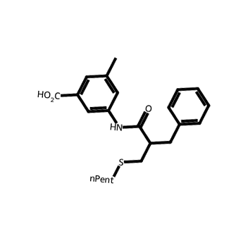 CCCCCSCC(Cc1ccccc1)C(=O)Nc1cc(C)cc(C(=O)O)c1